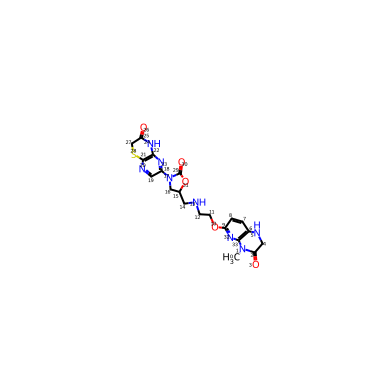 CN1C(=O)CNc2ccc(OCCNCC3CN(c4cnc5c(n4)NC(=O)CS5)C(=O)O3)nc21